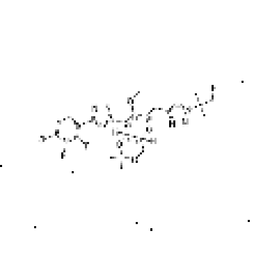 CO[C@@H]1[C@@H](n2cc(-c3ccc(Cl)c(F)c3F)nn2)[C@H]2OC(C)(C)OC[C@H]2O[C@@H]1Cc1cn(C(C)(C)CF)nn1